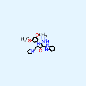 COc1cc(OC)cc(N2C(N)=C(c3nc4ccccc4[nH]3)C(=O)C2CCN2CCCC2)c1